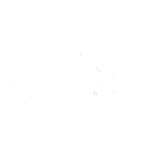 Cc1cccc(C)c1N1C(=O)c2cc(C(=O)C3=C(O)CCCC3=O)ccc2N(C)S1(=O)=O